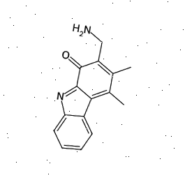 CC1=C(CN)C(=O)C2=Nc3ccccc3C2=C1C